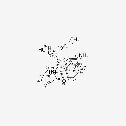 CC#C[C@H](C)Oc1cc(N)c(Cl)cc1C(=O)NC1C2CCC1CN(Cc1ccccc1)C2.Cl